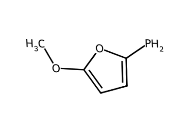 COc1ccc(P)o1